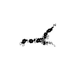 Cc1nc(N)sc1S(=O)(=O)N1Cc2cc3c(cc2CC1C(=O)N[C@@](C)(Cc1ccc(-c2ccc(C#N)cc2)cc1)C(=O)O)OC[C@H](c1ccc(OCc2ccc(Cl)c(Cl)c2)cc1)O3